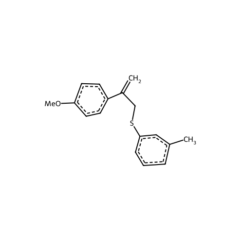 C=C(CSc1cccc(C)c1)c1ccc(OC)cc1